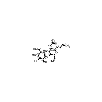 C=CCO[C@@H]1OC(CO)[C@@H](O[C@@H]2OC(CO)[C@H](O)[C@H](O)C2O)C(O)[C@@H]1NC(C)=O